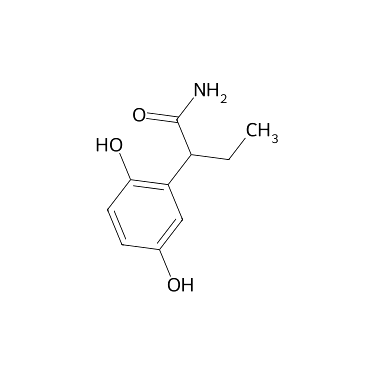 CCC(C(N)=O)c1cc(O)ccc1O